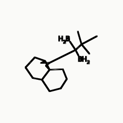 BC(B)(C1CC2CCCC3CCCCC32C1)C(C)(C)C